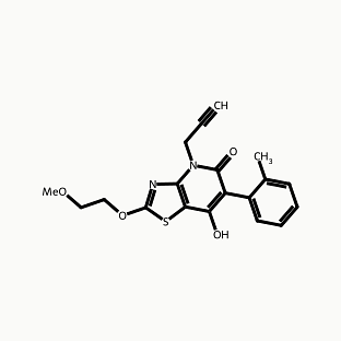 C#CCn1c(=O)c(-c2ccccc2C)c(O)c2sc(OCCOC)nc21